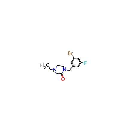 CCN1CCN(Cc2cc(F)cc(Br)c2)C(=O)C1